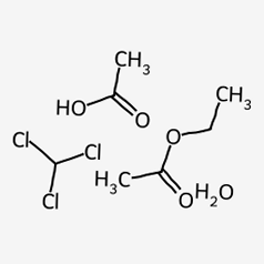 CC(=O)O.CCOC(C)=O.ClC(Cl)Cl.O